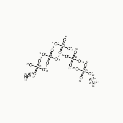 O=S(=O)([O-])[O-].O=S(=O)([O-])[O-].O=S(=O)([O-])[O-].O=S(=O)([O-])[O-].O=S(=O)([O-])[O-].[Al+3].[Al+3].[Ni+2].[Ni+2]